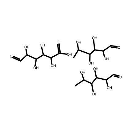 CC(O)C(O)C(O)C(O)C=O.CC(O)C(O)C(O)C(O)C=O.O=CC(O)C(O)C(O)C(O)C(=O)O